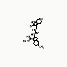 B=C(OC(C)(C)C)c1c(NC(=O)NCc2c(CC)[nH]c3c2CCNC3)sc2c1CCC(C)C2